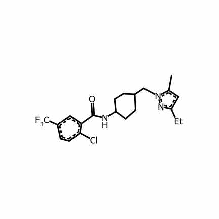 CCc1cc(C)n(CC2CCC(NC(=O)c3cc(C(F)(F)F)ccc3Cl)CC2)n1